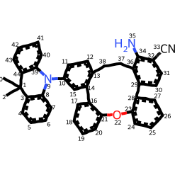 CC1(C)c2ccccc2N(c2ccc3c(c2)-c2ccccc2Oc2ccccc2-c2ccc(C#N)c(N)c2CC3)c2ccccc21